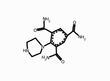 NC(=O)c1cc(C(N)=O)c(N2CCNCC2)c(C(N)=O)c1